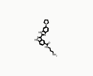 NCCCNC(=O)c1ccc2[nH]nc(-c3nc4ccc(N5CCCC5)cc4[nH]3)c2c1